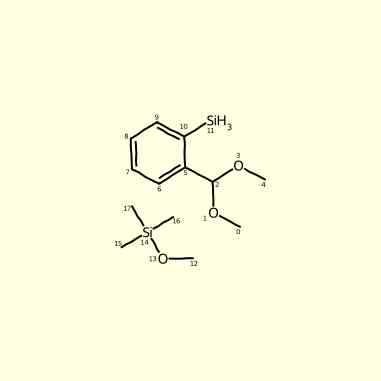 COC(OC)c1ccccc1[SiH3].CO[Si](C)(C)C